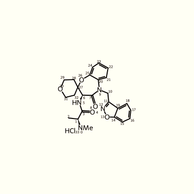 CN[C@@H](C)C(=O)N[C@@H]1C(=O)N(Cc2noc3ccccc23)c2ccccc2OC12CCOCC2.Cl